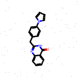 O=c1[nH]c(Cc2ccc(-n3cccc3)cc2)nc2ccccc12